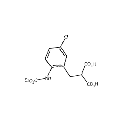 CCOC(=O)Nc1ccc(Cl)cc1CC(C(=O)O)C(=O)O